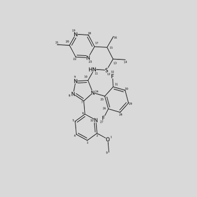 COc1cccc(-c2nnc(NSC(C)C(C)c3cnc(C)cn3)n2-c2c(F)cccc2F)n1